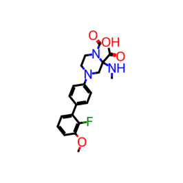 CNC1(C(C)=O)CN(c2ccc(-c3cccc(OC)c3F)cc2)CCN1C(=O)O